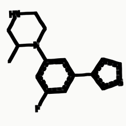 CC1CNCCN1c1cc(F)cc(-c2ccsc2)c1